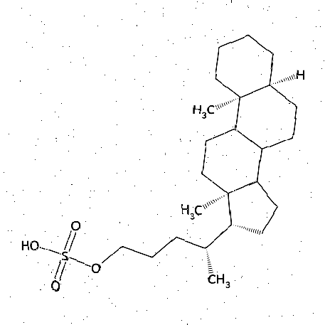 C[C@H](CCCOS(=O)(=O)O)[C@H]1CCC2C3CC[C@@H]4CCCC[C@]4(C)C3CC[C@@]21C